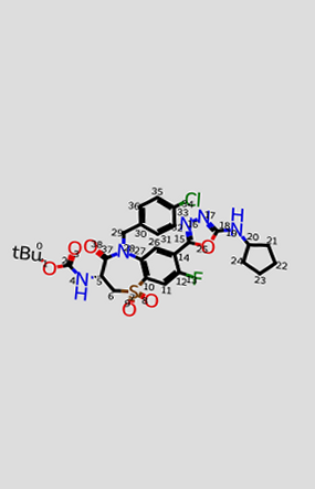 CC(C)(C)OC(=O)N[C@H]1CS(=O)(=O)c2cc(F)c(-c3nnc(NC4CCCC4)o3)cc2N(Cc2ccc(Cl)cc2)C1=O